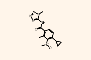 Cc1c(C(=O)Nc2nnnn2C)ccc(C2CC2)c1[S+](C)[O-]